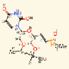 CO[PH](=O)/C=C/[C@H](CO[Si](C)(C)C(C)(C)C)O[C@H](COCC(C)=O)n1ccc(=O)[nH]c1=O